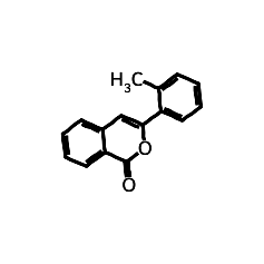 Cc1ccccc1-c1cc2ccccc2c(=O)o1